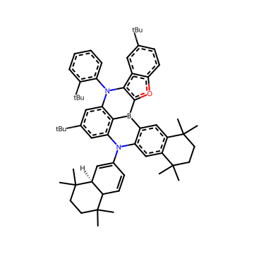 CC(C)(C)c1cc2c3c(c1)N(c1ccccc1C(C)(C)C)c1c(oc4ccc(C(C)(C)C)cc14)B3c1cc3c(cc1N2C1=C[C@H]2C(C=C1)C(C)(C)CCC2(C)C)C(C)(C)CCC3(C)C